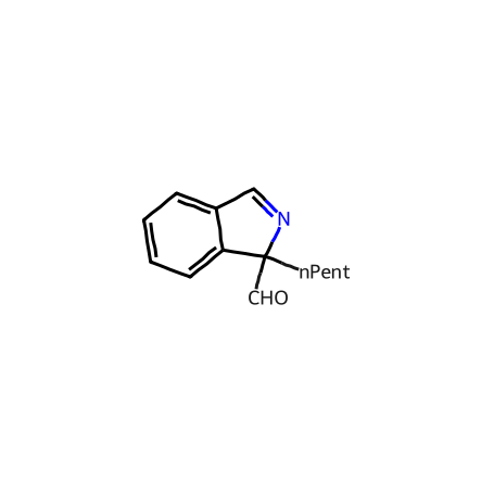 CCCCCC1(C=O)N=Cc2ccccc21